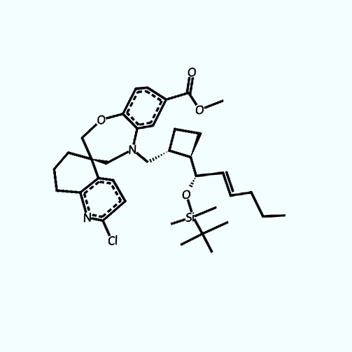 CCC/C=C/[C@H](O[Si](C)(C)C(C)(C)C)[C@@H]1CC[C@H]1CN1C[C@@]2(CCCc3nc(Cl)ccc32)COc2ccc(C(=O)OC)cc21